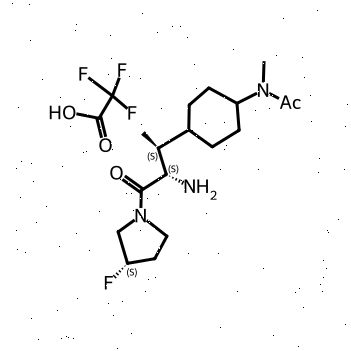 CC(=O)N(C)C1CCC([C@H](C)[C@H](N)C(=O)N2CC[C@H](F)C2)CC1.O=C(O)C(F)(F)F